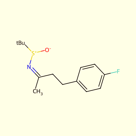 C/C(CCc1ccc(F)cc1)=N/[S+]([O-])C(C)(C)C